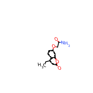 CCc1cc(=O)oc2cc(OCC(N)=O)ccc12